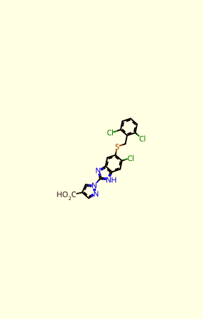 O=C(O)c1cnn(-c2nc3cc(SCc4c(Cl)cccc4Cl)c(Cl)cc3[nH]2)c1